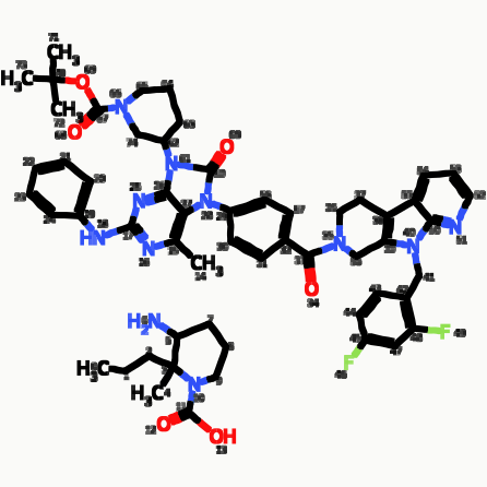 CCCC1(C)C(N)CCCN1C(=O)O.Cc1nc(Nc2ccccc2)nc2c1n(-c1ccc(C(=O)N3CCc4c(n(Cc5ccc(F)cc5F)c5ncccc45)C3)cc1)c(=O)n2C1CCCN(C(=O)OC(C)(C)C)C1